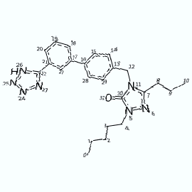 CCCCCn1nc(CCC)n(Cc2ccc(-c3cccc(-c4nnn[nH]4)c3)cc2)c1=O